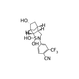 N#Cc1ccc(N2C[C@H]3[C@@H]4C[C@H]([C@H]3S2(O)O)[C@H](O)C4)cc1C(F)(F)F